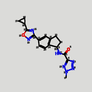 Cn1nnc(C(=O)N[C@@H]2CCc3cc(-c4noc(C5CC5)n4)ccc32)n1